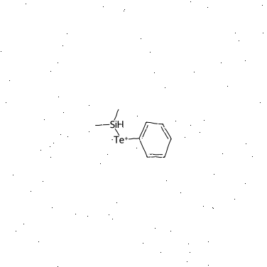 C[SiH](C)[Te+]c1ccccc1